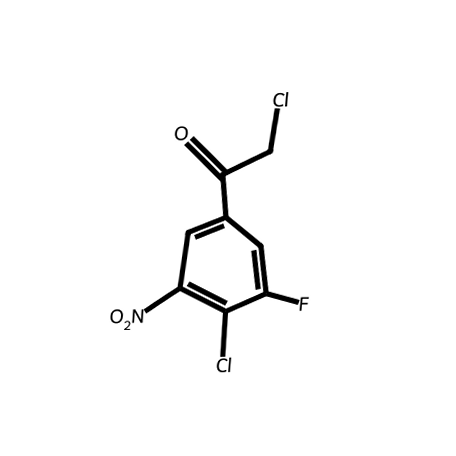 O=C(CCl)c1cc(F)c(Cl)c([N+](=O)[O-])c1